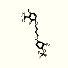 NC(=O)c1c(F)ccc(OCCCCOc2ccc(OC(F)(F)F)c(Br)c2)c1F